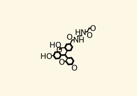 O=CC(=O)NCCNC(=O)c1ccc(-c2c3ccc(=O)cc-3oc3cc(O)ccc23)c(C(=O)O)c1